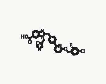 O=C(O)c1ccc2nc(Cc3ccc(-c4cccc(OCc5ccc(Cl)cc5F)n4)cc3)n(Cc3cnco3)c2c1